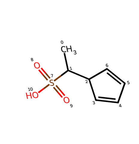 CC(C1C=CC=C1)S(=O)(=O)O